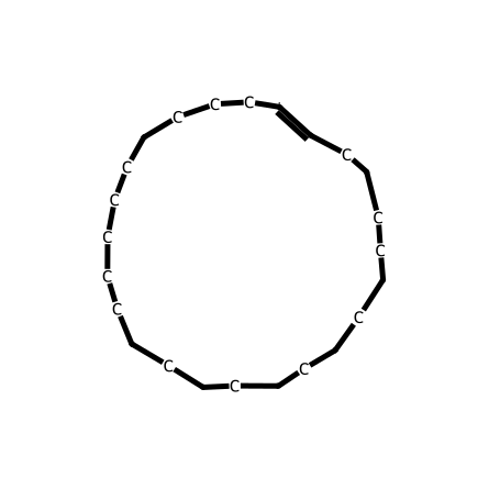 [C]1=C/CCCCCCCCCCCCCCCCCCCCCC/1